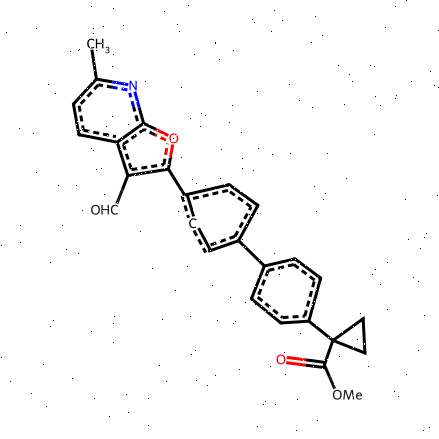 COC(=O)C1(c2ccc(-c3ccc(-c4oc5nc(C)ccc5c4C=O)cc3)cc2)CC1